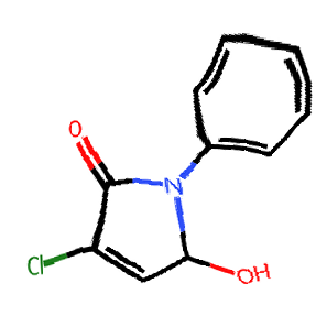 O=C1C(Cl)=CC(O)N1c1ccccc1